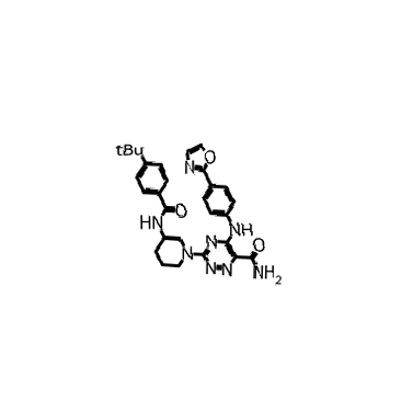 CC(C)(C)c1ccc(C(=O)NC2CCCN(c3nnc(C(N)=O)c(Nc4ccc(-c5ncco5)cc4)n3)C2)cc1